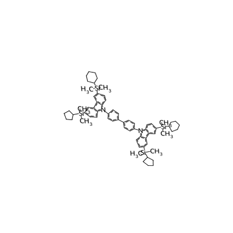 C[Si](C)(c1ccc2c(c1)c1cc([Si](C)(C)C3CCCC3)ccc1n2-c1ccc(-c2ccc(-n3c4ccc([Si](C)(C)C5CCCCC5)cc4c4cc([Si](C)(C)C5CCCC5)ccc43)cc2)cc1)C1CCCCC1